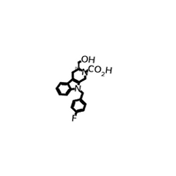 O=C(O)N1Cc2c(c3ccccc3n2Cc2ccc(F)cc2)C[C@H]1CO